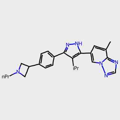 CCCN1CC(c2ccc(-c3n[nH]c(-c4cc(C)c5ncnn5c4)c3C(C)C)cc2)C1